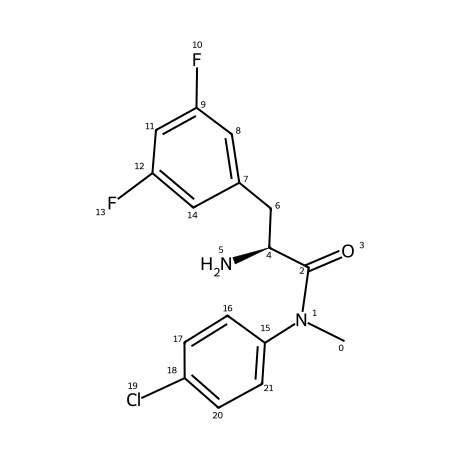 CN(C(=O)[C@@H](N)Cc1cc(F)cc(F)c1)c1ccc(Cl)cc1